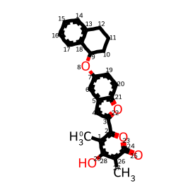 Cc1c(-c2cc3cc(OC4CCCc5ccccc54)ccc3o2)oc(=O)c(C)c1O